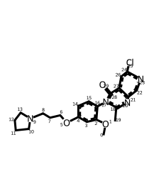 COc1cc(OCCCN2CCCC2)ccc1-n1c(C)nc2cnc(Cl)cc2c1=O